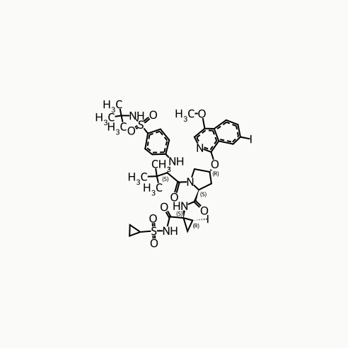 COc1cnc(O[C@@H]2C[C@@H](C(=O)N[C@]3(C(=O)NS(=O)(=O)C4CC4)C[C@H]3I)N(C(=O)[C@@H](Nc3ccc(S(=O)(=O)NC(C)(C)C)cc3)C(C)(C)C)C2)c2cc(I)ccc12